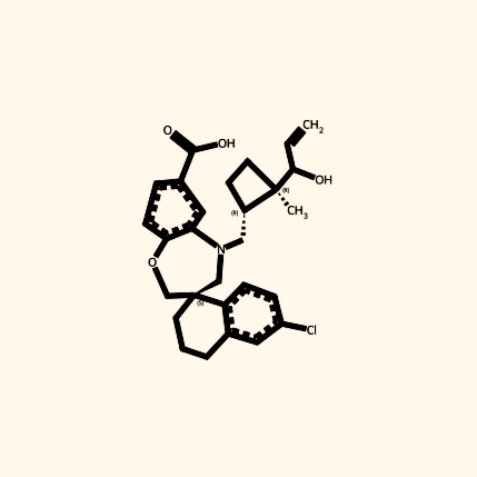 C=CC(O)[C@]1(C)CC[C@H]1CN1C[C@@]2(CCCc3cc(Cl)ccc32)COc2ccc(C(=O)O)cc21